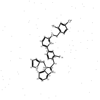 Fc1cc(Cl)ccc1COc1cccc(-c2ccc(Cc3nc4ccccc4n3Cc3ccco3)c(F)c2)n1